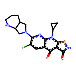 O=c1[nH]sc2c1c(=O)c1cc(F)c(N3CC4CCCNC4C3)nc1n2C1CC1